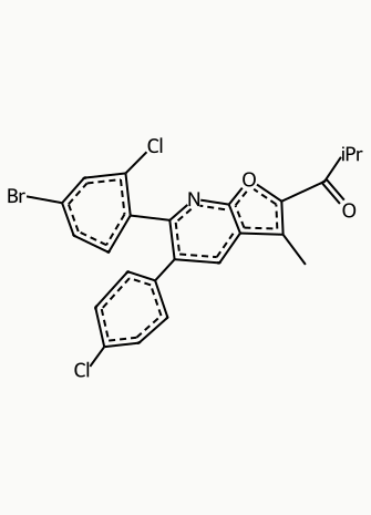 Cc1c(C(=O)C(C)C)oc2nc(-c3ccc(Br)cc3Cl)c(-c3ccc(Cl)cc3)cc12